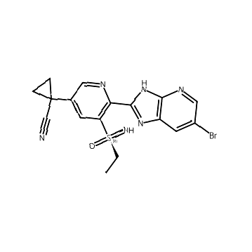 CC[S@@](=N)(=O)c1cc(C2(C#N)CC2)cnc1-c1nc2cc(Br)cnc2[nH]1